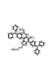 CCCCOCCn1nc2c(-c3ccc(N(c4ccccc4)c4ccccc4)cc3)c(N)c(NNCC(C)(C)C)c(-c3ccc(N(c4ccccc4)c4ccccc4)cc3)c2n1